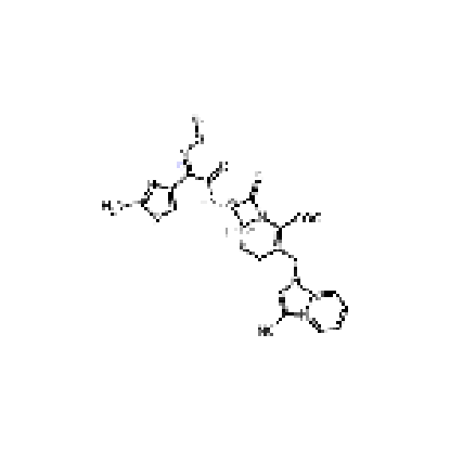 CCO/N=C(\C(=O)N[C@@H]1C(=O)N2C(C(=O)[O-])=C(Cn3cc(C#N)[n+]4ccccc34)CS[C@@H]12)c1csc(N)n1